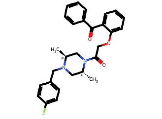 C[C@@H]1CN(Cc2ccc(F)cc2)[C@@H](C)CN1C(=O)COc1ccccc1C(=O)c1ccccc1